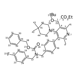 CCOC(=O)[C@@H](OC(C)(C)C)c1c(C)nc(C)c(-c2ccc(CN(Cc3ccc(F)cc3)C(=O)OCc3ccccc3)cc2)c1N1CCC(C)(C)CC1